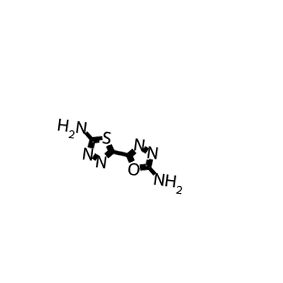 Nc1nnc(-c2nnc(N)s2)o1